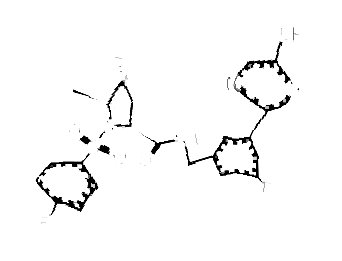 C[C@H]1[C@H](F)C[C@@H](C(=O)NCc2cc(F)cc(-c3cnc(C(F)(F)F)cn3)c2)N1S(=O)(=O)c1ccc(F)cc1